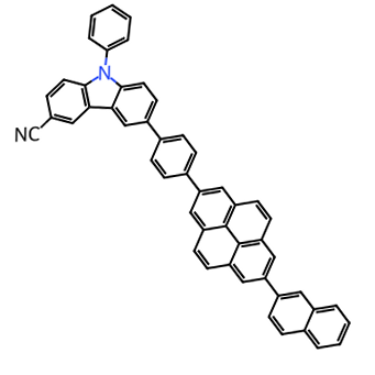 N#Cc1ccc2c(c1)c1cc(-c3ccc(-c4cc5ccc6cc(-c7ccc8ccccc8c7)cc7ccc(c4)c5c67)cc3)ccc1n2-c1ccccc1